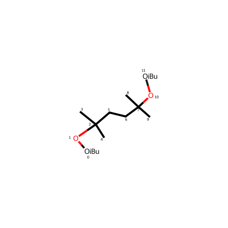 CC(C)COOC(C)(C)CCC(C)(C)OOCC(C)C